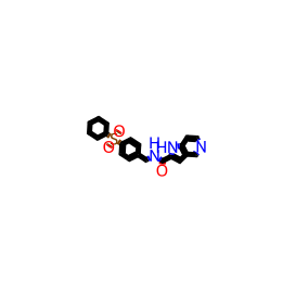 O=C(NCc1ccc(S(=O)(=O)C2CCCCC2)cc1)c1cc2cnccc2[nH]1